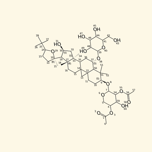 CC(=O)OC1COC(O[C@H]2CCC34CC35CC[C@]3(C)C([C@@]6(C)CCC(C(C)(C)C)O6)[C@@H](O)C[C@@]3(C)C5C[C@H](OC3OC(CO)C(O)C(O)C3O)C4C2(C)C)C(OC(C)=O)C1O